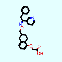 O=C(O)COc1cccc2c1CCC(CON=C(Cc1ccccc1)c1cccnc1)C2